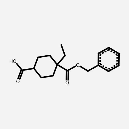 CCC1(C(=O)OCc2ccccc2)CCC(C(=O)O)CC1